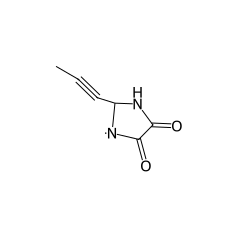 CC#CC1[N]C(=O)C(=O)N1